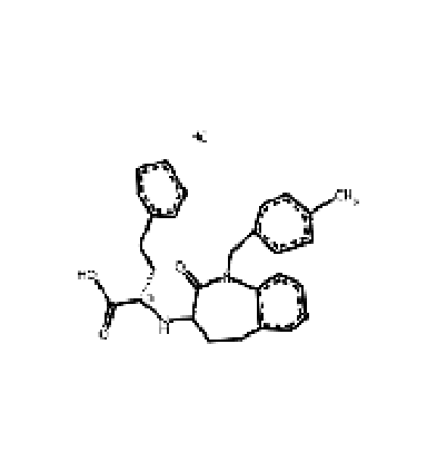 Cc1ccc(CN2C(=O)C(N[C@@H](CCc3ccccc3)C(=O)O)CCc3ccccc32)cc1.Cl